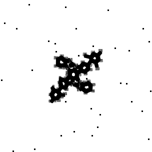 Cc1cc(C)c(-c2ccc3c4c5c6c(c7ccc(-c8c(C)cc(C)cc8C)cc7n6c6nc7ccccc7n56)c5c4n(c3c2)c2nc3ccccc3n52)c(C)c1